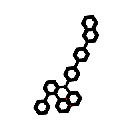 c1ccc(-c2cccc(N(c3ccccc3)c3ccc(-c4ccc(-c5ccc6ccccc6c5)cc4)cc3)c2-c2ccccc2)cc1